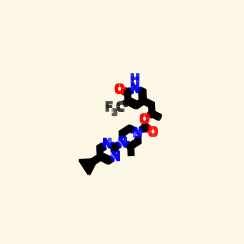 CC(Cc1c[nH]c(=O)c(C(F)(F)F)c1)OC(=O)N1CCN(c2ncc(C3CC3)cn2)C(C)C1